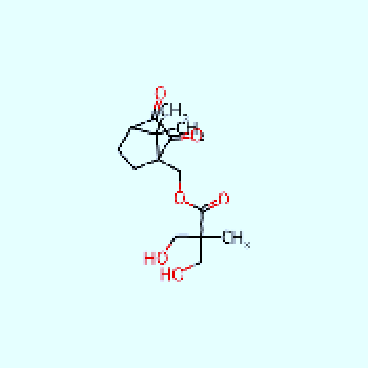 CC(CO)(CO)C(=O)OCC12CCC(C(=O)C1=O)C2(C)C